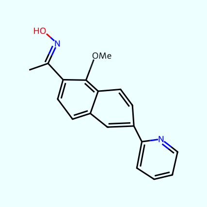 COc1c(C(C)=NO)ccc2cc(-c3ccccn3)ccc12